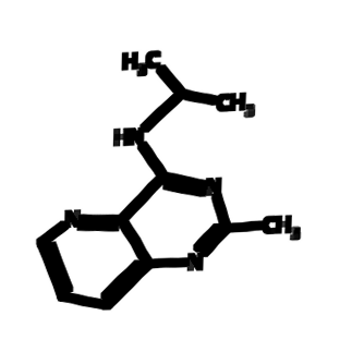 Cc1nc(NC(C)C)c2ncccc2n1